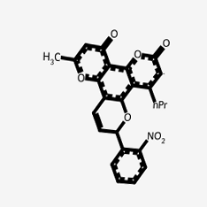 CCCc1[c]c(=O)oc2c1c1c(c3oc(C)cc(=O)c32)C=CC(c2ccccc2[N+](=O)[O-])O1